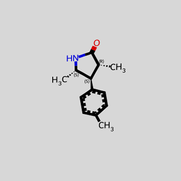 Cc1ccc([C@H]2[C@H](C)NC(=O)[C@@H]2C)cc1